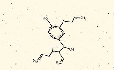 C=CCNC(C=C)C(O)c1ccc(O)c(SCC=C)c1